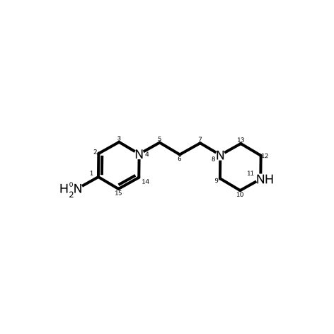 NC1=CCN(CCCN2CCNCC2)C=C1